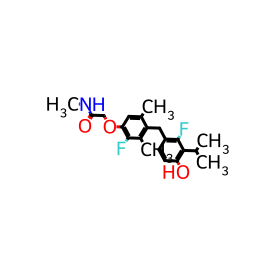 CNC(=O)COc1cc(C)c(Cc2ccc(O)c(C(C)C)c2F)c(C)c1F